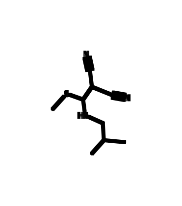 CSC(NCC(C)C)C(C#N)C#N